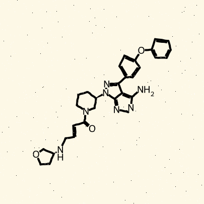 Nc1ncnc2c1c(-c1ccc(Oc3ccccc3)cc1)nn2[C@@H]1CCCN(C(=O)/C=C/CN[C@@H]2CCOC2)C1